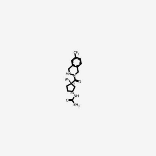 BC(=O)N[C@@H]1CC[C@@](C(=O)N2Cc3ccc(C(F)(F)F)cc3CN2)(C(C)C)C1